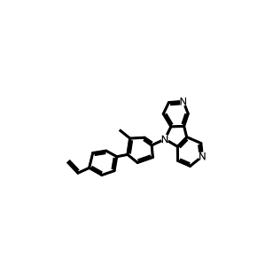 C=Cc1ccc(-c2ccc(-n3c4ccncc4c4cnccc43)cc2C)cc1